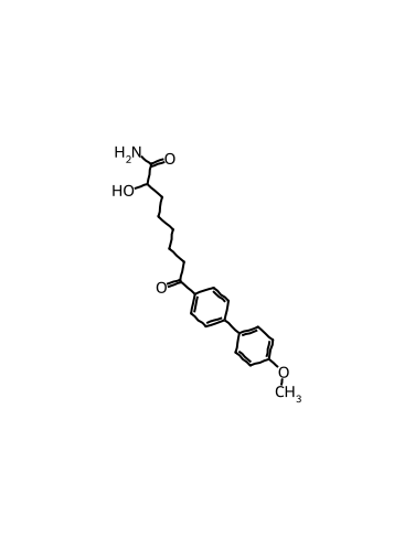 COc1ccc(-c2ccc(C(=O)CCCCCC(O)C(N)=O)cc2)cc1